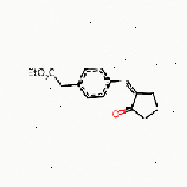 CCOC(=O)Cc1ccc(C=C2CCCC2=O)cc1